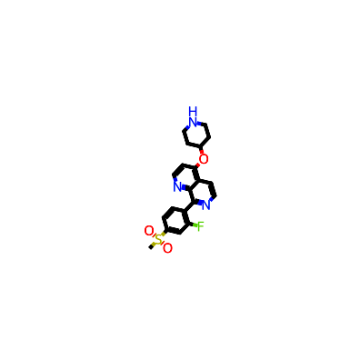 CS(=O)(=O)c1ccc(-c2nccc3c(OC4CCNCC4)ccnc23)c(F)c1